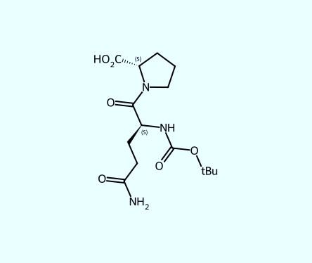 CC(C)(C)OC(=O)N[C@@H](CCC(N)=O)C(=O)N1CCC[C@H]1C(=O)O